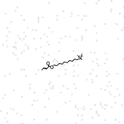 CC=CC(=O)OCCCCCCCCCC[Si](C)(C)I